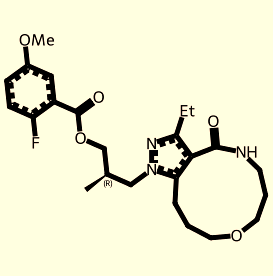 CCc1nn(C[C@@H](C)COC(=O)c2cc(OC)ccc2F)c2c1C(=O)NCCCOCCC2